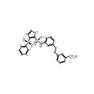 O=C(O)c1cccc(CCc2cccc(NS(=O)(=O)c3sccc3S(=O)(=O)c3ccccc3)c2)c1